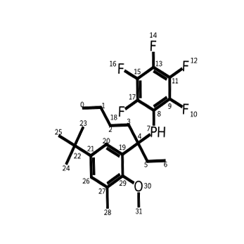 CCCCC(CC)(Pc1c(F)c(F)c(F)c(F)c1F)c1cc(C(C)(C)C)cc(C)c1OC